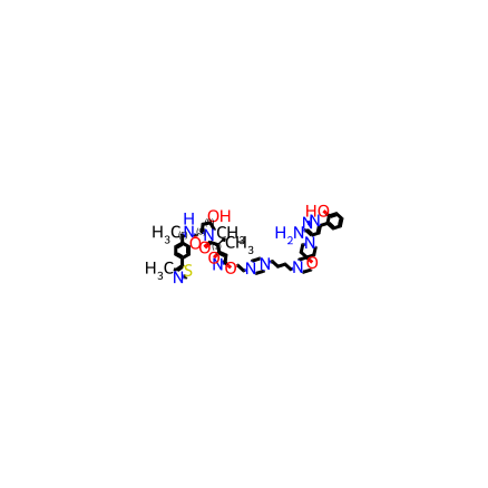 Cc1ncsc1-c1ccc([C@H](C)NC(=O)[C@@H]2C[C@@H](O)CN2C(=O)[C@H](c2cc(OCCN3CCN(CCCCN4CCOC5(CCN(c6cc(-c7ccccc7O)nnc6N)CC5)C4)CC3)no2)C(C)C)cc1